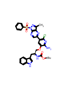 Cc1nn(S(=O)(=O)c2ccccc2)c2ncc(-c3cc(OC[C@H](Cc4c[nH]c5ccccc45)NC(=O)OC(C)(C)C)c(N)nc3Cl)nc12